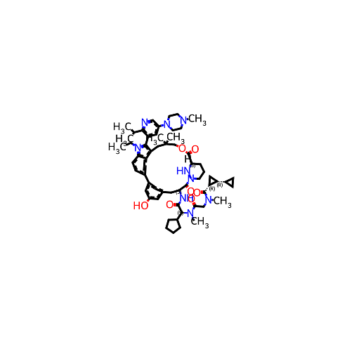 CCn1c(-c2cc(N3CCN(C)CC3)cnc2C(C)C)c2c3cc(ccc31)-c1cc(O)cc(c1)C[C@H](NC(=O)[C@H](C1CCCC1)N(C)C(=O)CN(C)C(=O)[C@@H]1C[C@@H]1C1CC1)C(=O)N1CCC[C@H](N1)C(=O)OCC(C)(C)C2